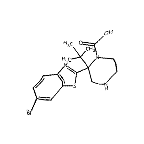 CC(C)(C)C1(c2nc3ccc(Br)cc3s2)CNCCN1C(=O)O